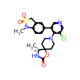 C[C@H]1NC(=O)OC12CCN(c1c(Cl)cncc1-c1ccc3c(c1)CS(=O)(=O)N3C)CC2